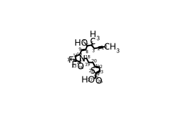 CC#CC[C@H](C)[C@H](O)C=CC1CC(F)(F)C(=O)N1CCCc1ccc(C(=O)O)s1